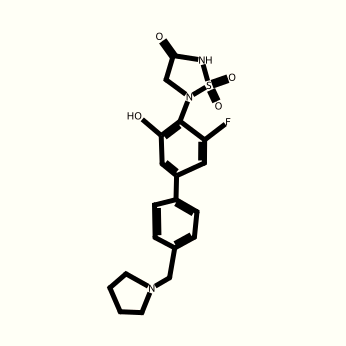 O=C1CN(c2c(O)cc(-c3ccc(CN4CCCC4)cc3)cc2F)S(=O)(=O)N1